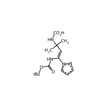 CC(C)(C=C(NC(=O)OC(C)(C)C)n1cccn1)NC(=O)O